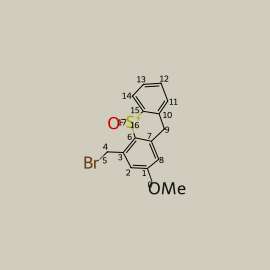 COc1cc(CBr)c2c(c1)Cc1ccccc1[S+]2[O-]